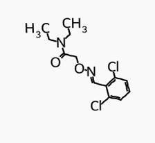 CCN(CC)C(=O)CO/N=C/c1c(Cl)cccc1Cl